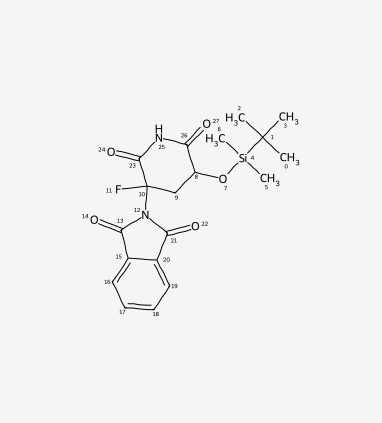 CC(C)(C)[Si](C)(C)OC1CC(F)(N2C(=O)c3ccccc3C2=O)C(=O)NC1=O